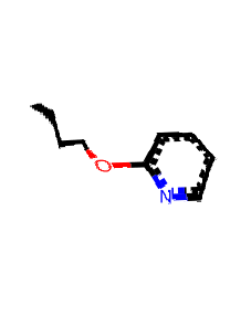 CCCOc1cc[c]cn1